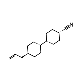 C=CC[C@H]1CC[C@H]([C@H]2CC[C@@H](C#N)CC2)CC1